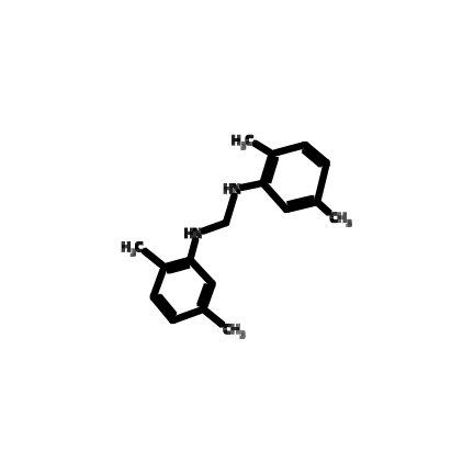 Cc1ccc(C)c(NCNc2cc(C)ccc2C)c1